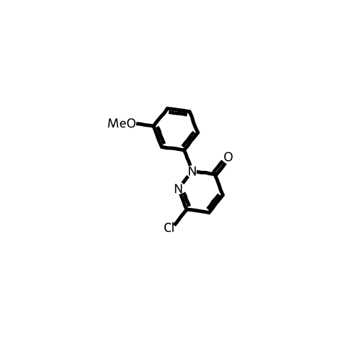 COc1cccc(-n2nc(Cl)ccc2=O)c1